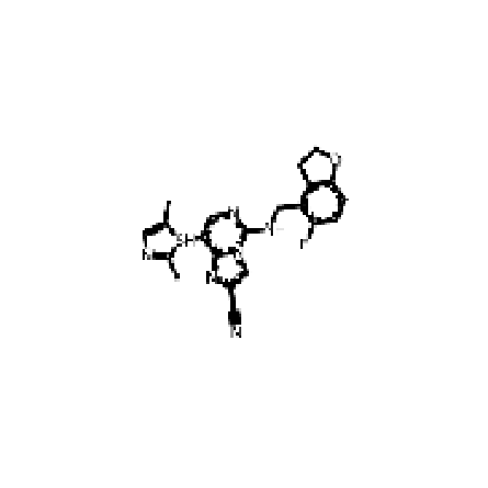 CC1=CN=C(C)[SH]1c1cnc(NCc2c(F)ccc3c2CCO3)n2cc(C#N)nc12